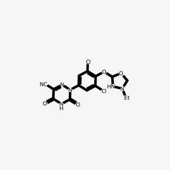 CCN1COC(Oc2c(Cl)cc(-n3nc(C#N)c(=O)[nH]c3=O)cc2Cl)N1